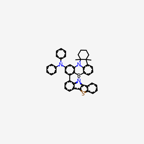 CC12CCCCC1(C)N1c3cc(N(c4ccccc4)c4ccccc4)cc4c3B(c3cccc2c31)n1c2c-4cccc2c2sc3ccccc3c21